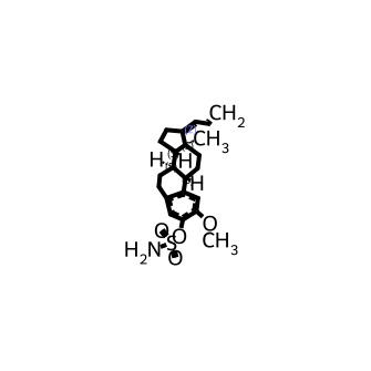 C=C/C=C1/CC[C@H]2[C@@H]3CCc4cc(OS(N)(=O)=O)c(OC)cc4[C@H]3CC[C@]12C